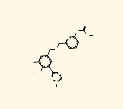 COc1c(N)cc(COCc2cccc(NC(=O)OC(C)(C)C)n2)cc1-c1ncn(C(C)C)n1